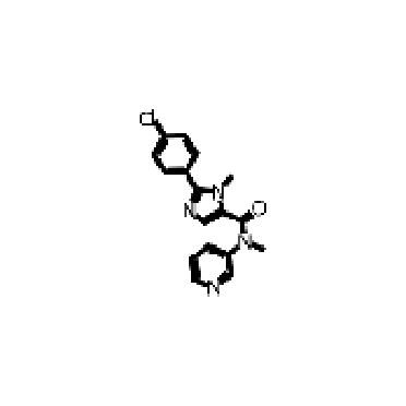 CN(C(=O)c1cnc(-c2ccc(Cl)cc2)n1C)c1cccnc1